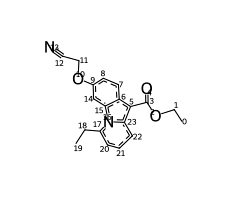 CCOC(=O)c1c2ccc(OCC#N)cc2n2c(CC)cccc12